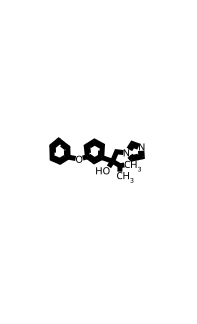 CC(C)C(O)(Cn1ccnc1)c1cccc(Oc2ccccc2)c1